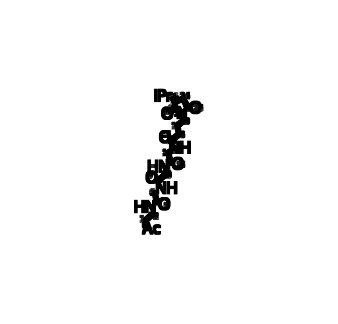 CC(=O)CCNC(=O)CNC(=O)CNC(=O)CNC(=O)CCCN1C(=O)CC(C(C)C)C1=O